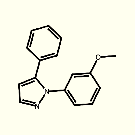 COc1cccc(-n2nccc2-c2ccccc2)c1